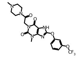 CN1CCN(C(=O)Cn2c(=O)c3[nH]c(Oc4cccc(OC(F)(F)F)c4)nc3n(C)c2=O)CC1